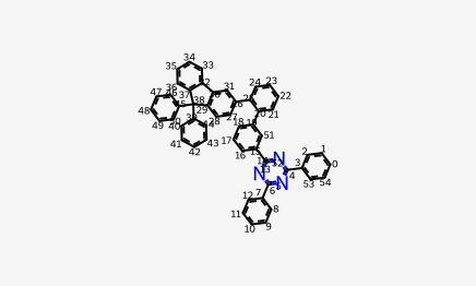 c1ccc(-c2nc(-c3ccccc3)nc(-c3cccc(-c4ccccc4-c4ccc5c(c4)-c4ccccc4C5(c4ccccc4)c4ccccc4)c3)n2)cc1